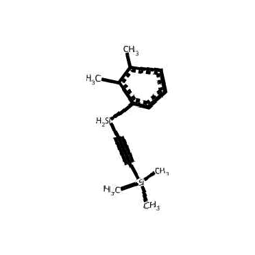 Cc1cccc([SiH2]C#C[Si](C)(C)C)c1C